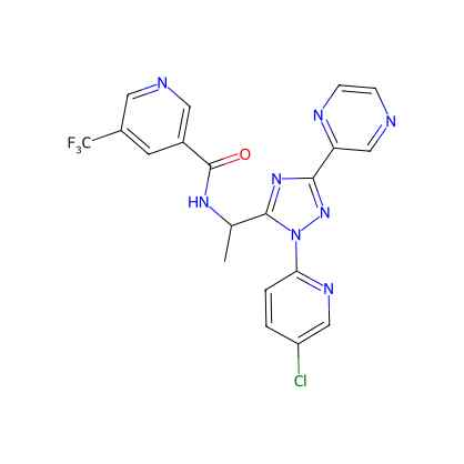 CC(NC(=O)c1cncc(C(F)(F)F)c1)c1nc(-c2cnccn2)nn1-c1ccc(Cl)cn1